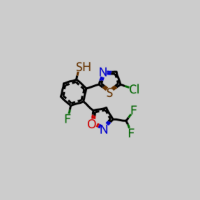 Fc1ccc(S)c(-c2ncc(Cl)s2)c1-c1cc(C(F)F)no1